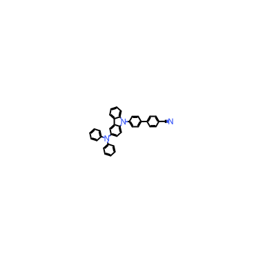 N#Cc1ccc(-c2ccc(-n3c4ccccc4c4cc(N(c5ccccc5)c5ccccc5)ccc43)cc2)cc1